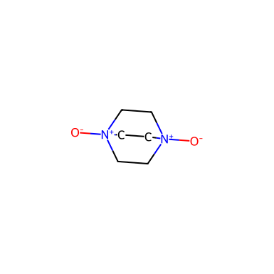 [O-][N+]12CC[N+]([O-])(CC1)CC2